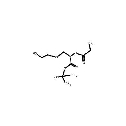 CCC(=O)ON(COCCO)C(=O)OC(C)(C)C